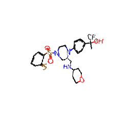 CC(O)(c1ccc(N2CCN(S(=O)(=O)C3=CC=CCC3=S)C[C@@H]2CNC2CCOCC2)cc1)C(F)(F)F